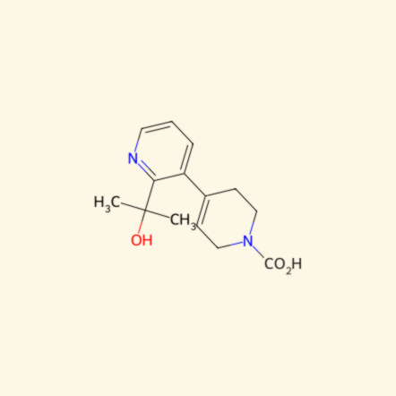 CC(C)(O)c1ncccc1C1=CCN(C(=O)O)CC1